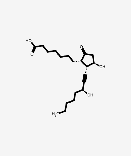 CCCCC[C@H](O)C#C[C@H]1[C@H](O)CC(=O)[C@H]1CCCCCCC(=O)O